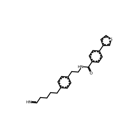 N=CCCCCc1ccc(CCNC(=O)c2ccc(-c3ccsc3)cc2)cc1